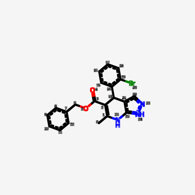 CC1=C(C(=O)OCc2ccccc2)C(c2ccccc2Br)c2cn[nH]c2N1